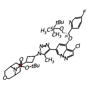 Cc1c(-c2cc(O[C@H](CO[Si](C)(C)C(C)(C)C)c3ccc(F)cn3)c3c(Cl)cnn3c2)nnn1C1CC(N2CC3COCC(C2)N3C(=O)OC(C)(C)C)C1